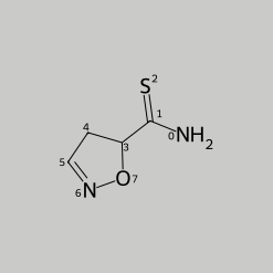 NC(=S)C1CC=NO1